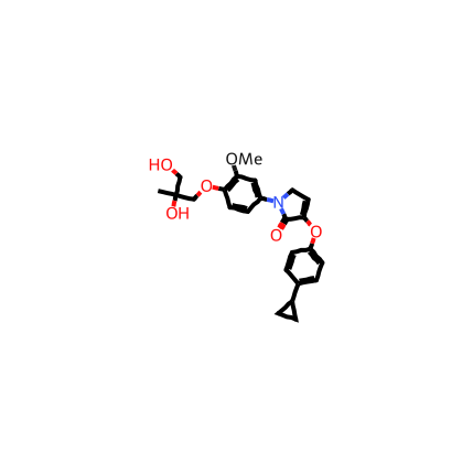 COc1cc(N2CC=C(Oc3ccc(C4CC4)cc3)C2=O)ccc1OCC(C)(O)CO